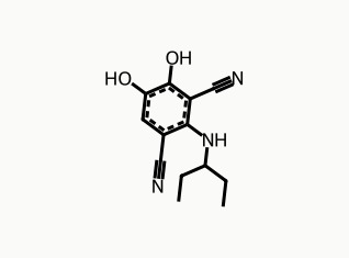 CCC(CC)Nc1c(C#N)cc(O)c(O)c1C#N